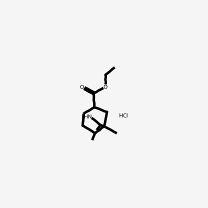 CCOC(=O)C1CC2(C)C(C)CC1NC2C.Cl